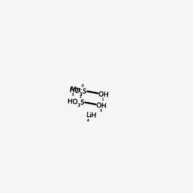 O=S(=O)(O)O.O=S(=O)(O)O.[LiH].[Mn]